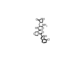 NC(=O)[C@H](C[C@@H]1CCNC1=O)NC(=O)[C@@H]1COCCN1C(=O)c1cc2cccc(Cl)c2[nH]1